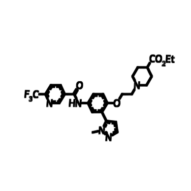 CCOC(=O)C1CCN(CCOc2ccc(NC(=O)c3ccc(C(F)(F)F)nc3)cc2-c2ccnn2C)CC1